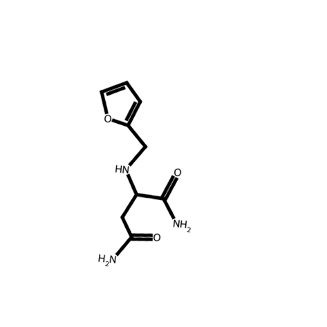 NC(=O)CC(NCc1ccco1)C(N)=O